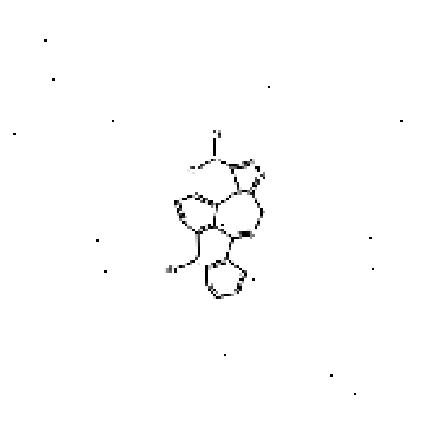 CCCSc1cccc2c1C(c1ccccc1)=NCc1nnc(C(Cl)CC)n1-2